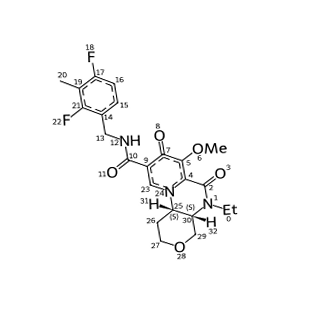 CCN1C(=O)c2c(OC)c(=O)c(C(=O)NCc3ccc(F)c(C)c3F)cn2[C@H]2CCOC[C@H]21